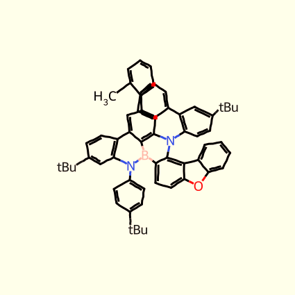 Cc1ccccc1-c1cc2c3c(c1)N(c1ccc(C(C)(C)C)cc1-c1ccccc1)c1c(ccc4oc5ccccc5c14)B3N(c1ccc(C(C)(C)C)cc1)c1cc(C(C)(C)C)ccc1-2